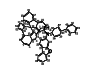 CCc1ccc2cccc3c2c1C1(c2ccccc2-c2ccc(N(c4ccc5c(c4)oc4ccccc45)C4C=CC(c5ccccc5)=CC4)cc21)c1ccccc1-3